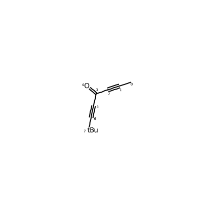 CC#CC(=O)C#CC(C)(C)C